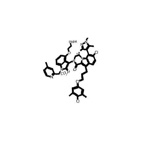 COCCOc1cccc2c1c(N1C[C@@H](C)n3c(c(CCCOc4cc(C)c(Cl)c(C)c4)c4ccc(Cl)c(-c5c(C)nn(C)c5C)c43)C1=O)c(C(=O)O)n2Cc1cc(C)ccn1